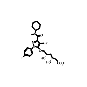 CC(C)c1c(C(=O)N(C)C2CCCCC2)nn(-c2ccc(F)cc2)c1OC[C@@H](O)C[C@@H](O)CC(=O)O